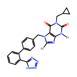 CCc1nc2c(c(=O)n(CC3CC3)c(=O)n2CC)n1Cc1ccc(-c2ccccc2-c2nnn[nH]2)cc1